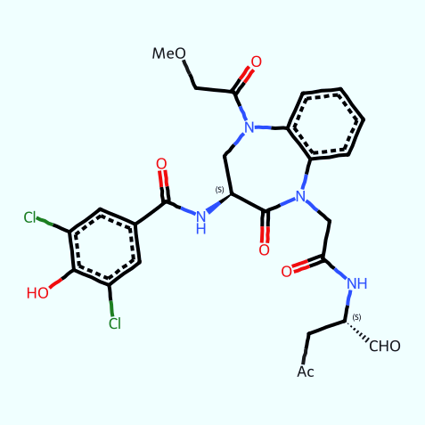 COCC(=O)N1C[C@H](NC(=O)c2cc(Cl)c(O)c(Cl)c2)C(=O)N(CC(=O)N[C@H](C=O)CC(C)=O)c2ccccc21